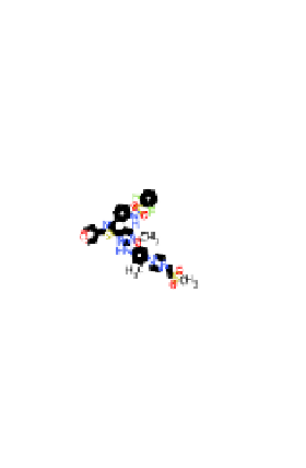 COc1cc(N2CCN(CCS(C)(=O)=O)CC2)c(C)cc1Nc1nccc(-c2sc(C3CCOCC3)nc2C2=CC(NS(=O)(=O)c3c(F)cccc3F)CC=C2)n1